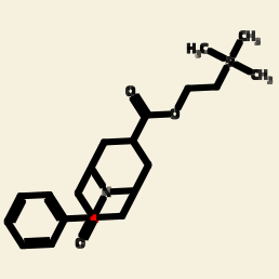 C[Si](C)(C)CCOC(=O)C1CC2CC(=O)CC(C1)N2Cc1ccccc1